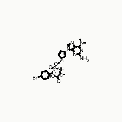 C[C@H](NP(=O)(OC[C@@H]1C=C[C@H](n2cnc3c(N(C)C)nc(N)nc32)C1)Oc1ccc(Br)cc1)C(=O)O